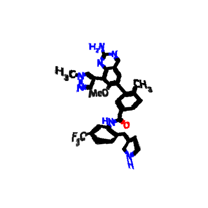 COc1c(-c2cc(C(=O)Nc3cc(C(F)(F)F)ccc3CC3CCNC3)ccc2C)cc2cnc(N)nc2c1-c1cnn(C)c1